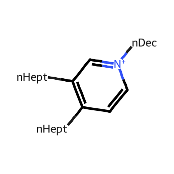 CCCCCCCCCC[n+]1ccc(CCCCCCC)c(CCCCCCC)c1